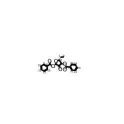 CC[C@H]1O[C@@H](OC(=O)c2ccccc2)C(=O)[C@H]1OC(=O)c1ccccc1